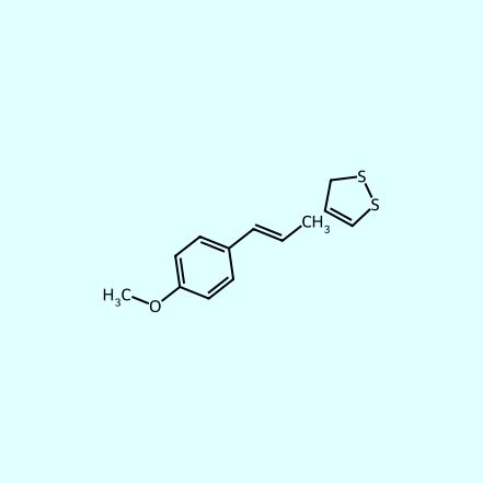 C1=CSSC1.CC=Cc1ccc(OC)cc1